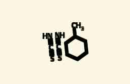 CC1CCCCC1.N=C=S.N=C=S